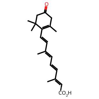 CC1=C(/C=C/C(C)=C/C=C/C(C)=C/C(=O)O)C(C)(C)CC(=O)C1